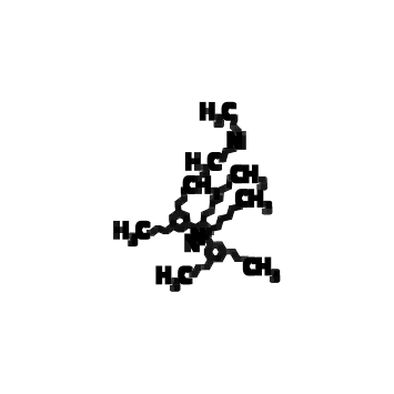 CCCCCCCCC1=C(c2cc(CCCC)cc(CCCC)c2)[N+](=[N-])C(c2cc(CCCC)cc(CCCC)c2)=C1CCCCCC.CCC[CH2][Ni][CH2]CCC